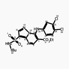 CCOC(=O)c1cnc2c(S(=O)(=O)NC(C)(C)C)cnn2c1Nc1ccc(Cl)c(Cl)c1